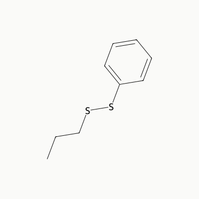 CCCSSc1ccccc1